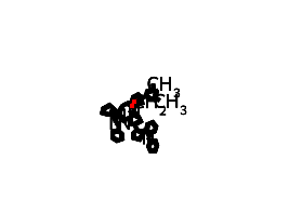 C=Cc1c2cc[n+]3c(-c4ccccc4)nc(-c4ccccc4)nc3c3cc(-c4cccc5c4c4ccccc4n5-c4ccccc4)ccc3n1c1cc(-c3cc(C)cc(C)c3)ccc21